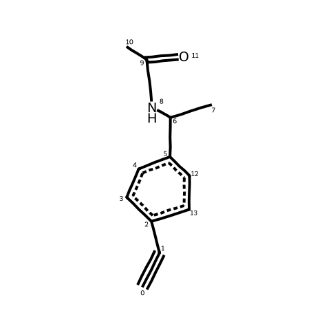 C#Cc1ccc(C(C)NC(C)=O)cc1